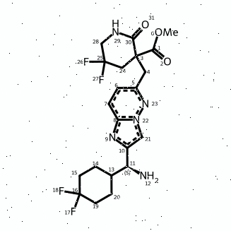 COC(=O)C1(Cc2ccc3nc([C@@H](N)C4CCC(F)(F)CC4)cn3n2)CC(F)(F)CNC1=O